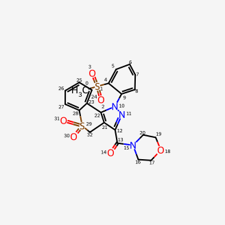 CS(=O)(=O)c1ccccc1-n1nc(C(=O)N2CCOCC2)c2c1-c1ccccc1S(=O)(=O)C2